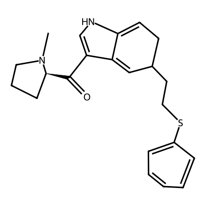 CN1CCC[C@@H]1C(=O)c1c[nH]c2c1=CC(CCSc1ccccc1)CC=2